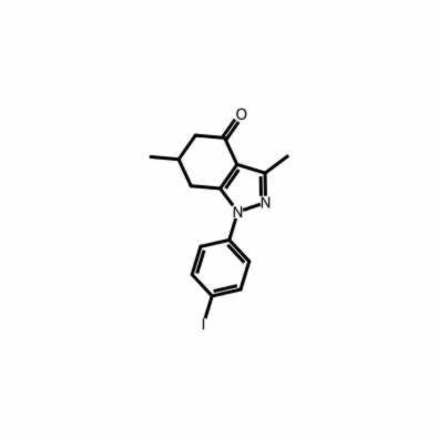 Cc1nn(-c2ccc(I)cc2)c2c1C(=O)CC(C)C2